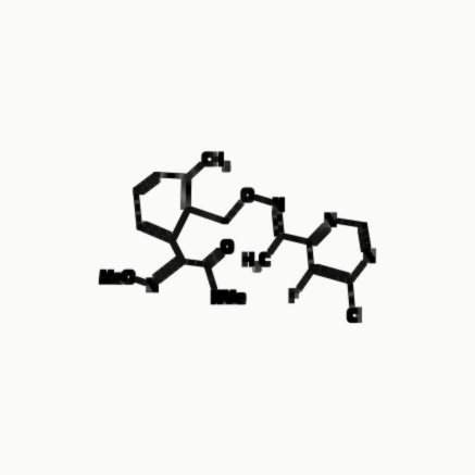 CNC(=O)/C(=N/OC)c1cccc(C)c1CO/N=C(\C)c1ncnc(Cl)c1F